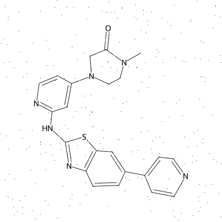 CN1CCN(c2ccnc(Nc3nc4ccc(-c5ccncc5)cc4s3)c2)CC1=O